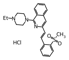 CCN1CCN(c2nc(/C=C/c3ccccc3S(C)(=O)=O)cc3ccccc23)CC1.Cl